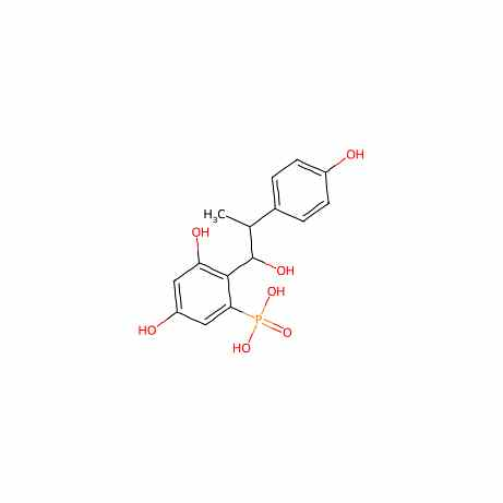 CC(c1ccc(O)cc1)C(O)c1c(O)cc(O)cc1P(=O)(O)O